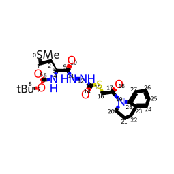 CSCC[C@H](NC(=O)OC(C)(C)C)C(=O)NNC(=O)SCC(=O)N1CCCc2ccccc21